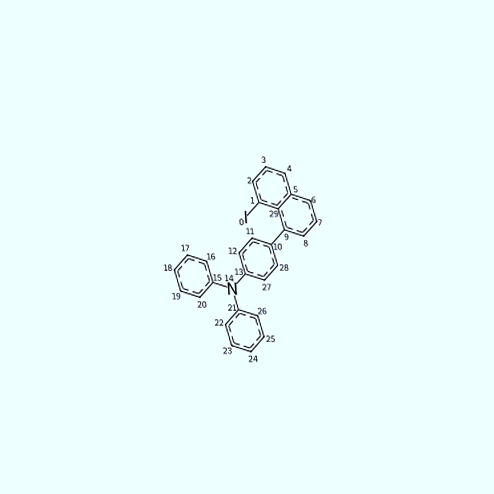 Ic1cccc2cccc(-c3ccc(N(c4ccccc4)c4ccccc4)cc3)c12